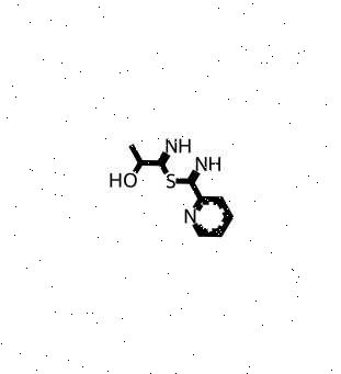 CC(O)C(=N)SC(=N)c1ccccn1